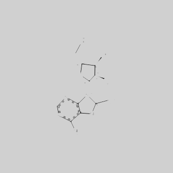 Nc1ncnc2c1NC(C=O)N2[C@@H]1O[C@H](CO)[C@@H](O)[C@H]1O